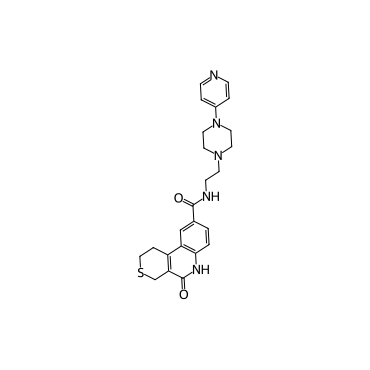 O=C(NCCN1CCN(c2ccncc2)CC1)c1ccc2[nH]c(=O)c3c(c2c1)CCSC3